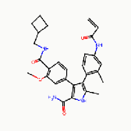 C=CC(=O)Nc1ccc(-c2c(C)[nH]c(C(N)=O)c2-c2ccc(C(=O)NCC3CCC3)c(OC)c2)c(C)c1